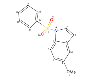 COc1ccc2c(c[c]n2S(=O)(=O)c2ccccc2)c1